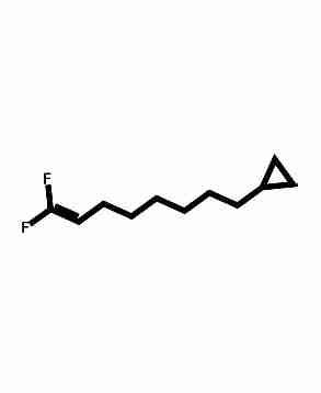 FC(F)=CCCCCCCC1[CH]C1